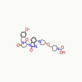 COc1ccc(CN2C(=O)CCC(n3c(=O)n(C)c4c(N5CCC(OCC6CCN(C(=O)O)CC6)CC5)cccc43)C2=O)cc1